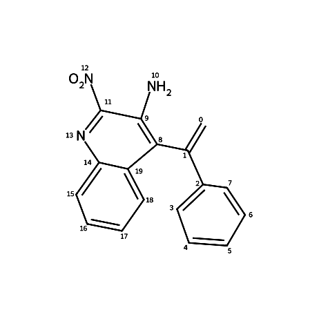 C=C(c1ccccc1)c1c(N)c([N+](=O)[O-])nc2ccccc12